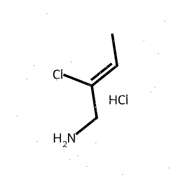 CC=C(Cl)CN.Cl